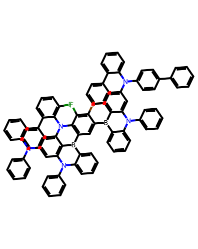 Fc1cccc(-c2ccccc2)c1N1c2cc(N(c3ccccc3)c3ccccc3)cc3c2B(c2ccccc2N3c2ccccc2)c2cc3c(c(F)c21)Sc1cc(N(c2ccc(-c4ccccc4)cc2)c2ccccc2-c2ccccc2)cc2c1B3c1ccccc1N2c1ccccc1